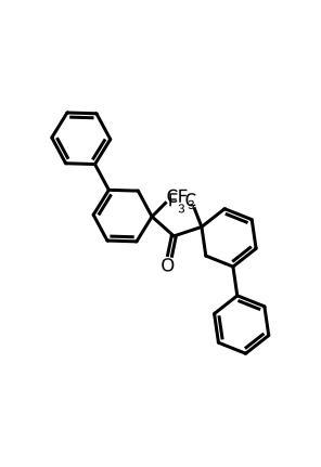 O=C(C1(C(F)(F)F)C=CC=C(c2ccccc2)C1)C1(C(F)(F)F)C=CC=C(c2ccccc2)C1